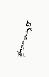 CC1CCN(C(=O)CCOCCOCCOCCOCCC(N)=O)CC1